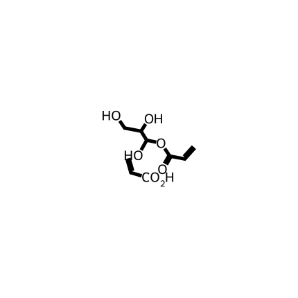 C=CC(=O)O.C=CC(=O)OC(O)C(O)CO